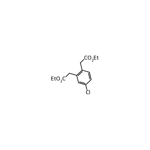 CCOC(=O)Cc1ccc(Cl)cc1CC(=O)OCC